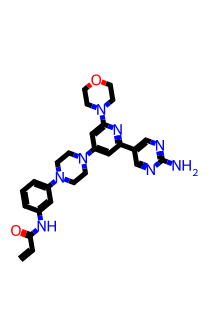 C=CC(=O)Nc1cccc(N2CCN(c3cc(-c4cnc(N)nc4)nc(N4CCOCC4)c3)CC2)c1